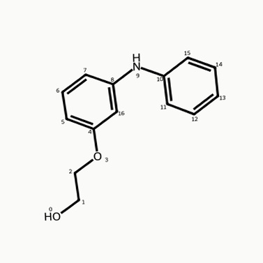 OCCOc1cccc(Nc2ccccc2)c1